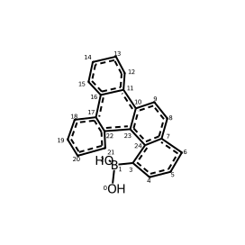 OB(O)c1cccc2ccc3c4ccccc4c4ccccc4c3c12